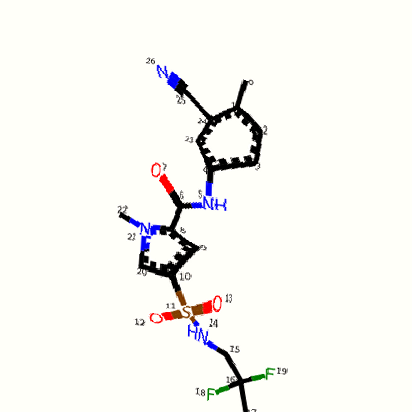 Cc1ccc(NC(=O)c2cc(S(=O)(=O)NCC(C)(F)F)cn2C)cc1C#N